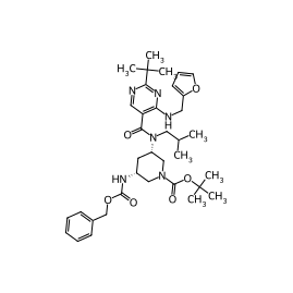 CC(C)CN(C(=O)c1cnc(C(C)(C)C)nc1NCc1ccco1)[C@H]1C[C@@H](NC(=O)OCc2ccccc2)CN(C(=O)OC(C)(C)C)C1